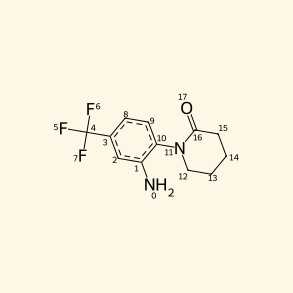 Nc1cc(C(F)(F)F)ccc1N1CCCCC1=O